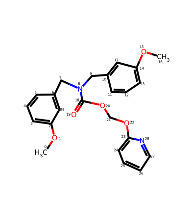 COc1cccc(CN(Cc2cccc(OC)c2)C(=O)OCOc2ccccn2)c1